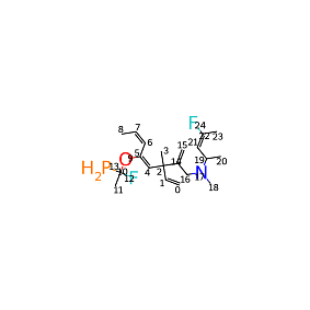 C=CC(C)(/C=C(\C=C/C)OC(C)(F)P)C(=C)CN(C)C(C)/C=C(\C)F